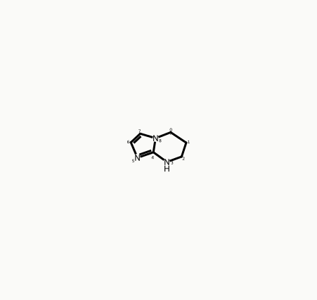 [CH]1CCNc2nccn21